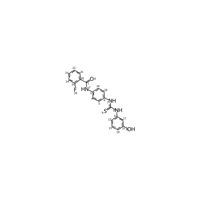 O=C(Nc1ccc(NC(=S)Nc2cccc(O)c2)cc1)c1ccccc1F